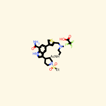 CCS(=O)(=O)N1CCC(c2c[nH]c3c(C(N)=O)cc(-c4csc(CN(C)CCNC(C)=O)c4)cc23)CC1.O=C(O)C(F)(F)F